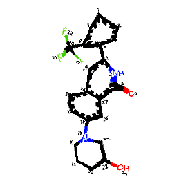 O=c1[nH]c(-c2ccccc2C(F)(F)F)cc2ccc(N3CCCC(O)C3)cc12